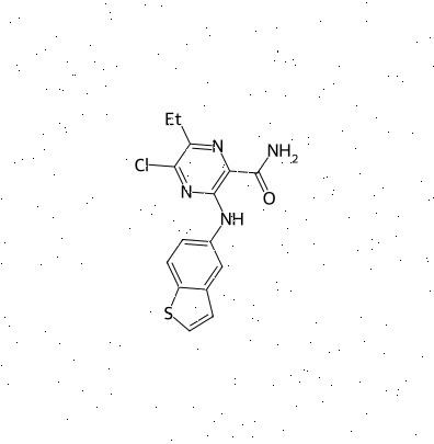 CCc1nc(C(N)=O)c(Nc2ccc3sccc3c2)nc1Cl